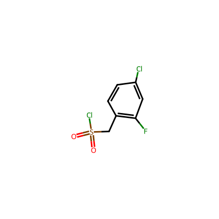 O=S(=O)(Cl)Cc1ccc(Cl)cc1F